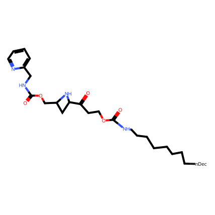 CCCCCCCCCCCCCCCCCCNC(=O)OCCC(=O)C1CC(COC(=O)NCc2ccccn2)N1